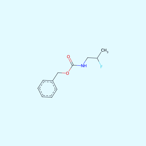 CC(F)CNC(=O)OCc1ccccc1